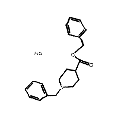 Cl.O=C(OCc1ccccc1)C1CCN(Cc2ccccc2)CC1